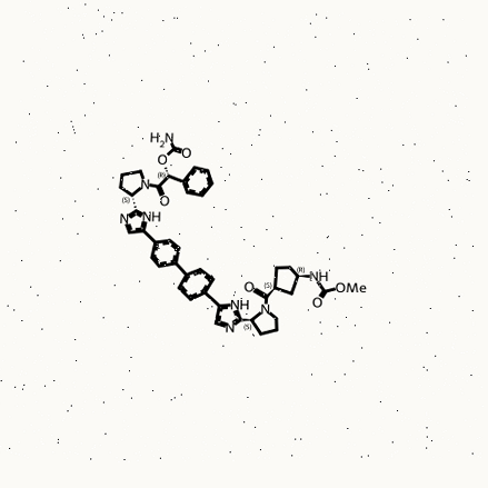 COC(=O)N[C@@H]1CC[C@H](C(=O)N2CCC[C@H]2c2ncc(-c3ccc(-c4ccc(-c5cnc([C@@H]6CCCN6C(=O)[C@H](OC(N)=O)c6ccccc6)[nH]5)cc4)cc3)[nH]2)C1